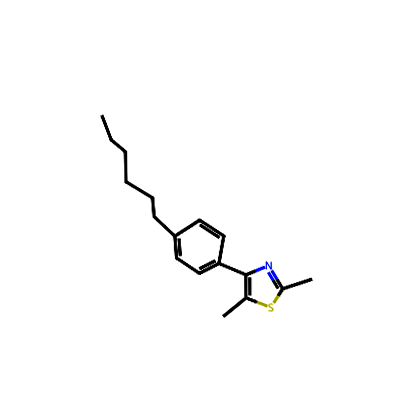 CCCCCCc1ccc(-c2nc(C)sc2C)cc1